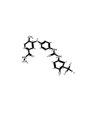 CNC(=O)C1=NCC(C)C(Oc2ccc(NC(=O)Nc3ccc(Cl)c(C(F)(F)F)c3)cc2)=C1